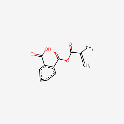 C=C(C)C(=O)OC(=O)c1ccccc1C(=O)O